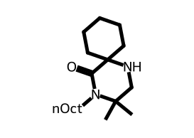 CCCCCCCCN1C(=O)C2(CCCCC2)NCC1(C)C